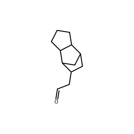 O=CCC1CC2CC1C1CCCC21